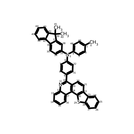 Cc1ccc(N(c2ccc(-c3nc4ccccc4c4c3ccc3c5ccccc5sc34)cc2)c2ccc3c(c2)C(C)(C)c2ccccc2-3)cc1